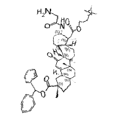 C[C@]1(C(=O)OC(c2ccccc2)c2ccccc2)CC[C@]2(C)CC[C@]3(C)C(=CC(=O)[C@@H]4[C@@]5(C)CC[C@H](NC(=O)CN)[C@@](C)(C(=O)OCC[Si](C)(C)C)[C@@H]5CC[C@]43C)[C@@H]2C1